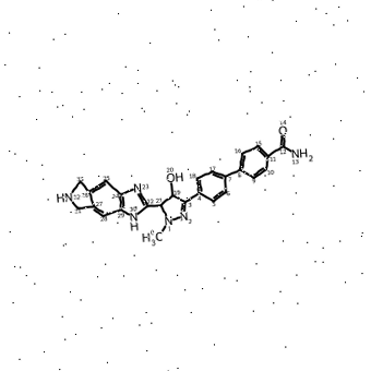 CN1N=C(c2ccc(-c3ccc(C(N)=O)cc3)cc2)C(O)C1c1nc2cc3c(cc2[nH]1)CNC3